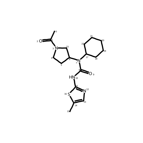 CC(=O)N1CCC(N(C(=O)Nc2ncc(C)s2)C2CCCCC2)C1